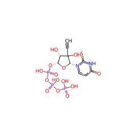 C#CC1(O)[C@@H](O)[C@@H](OP(=O)(O)OP(=O)(O)OP(=O)(O)O)O[C@H]1n1ccc(=O)[nH]c1=S